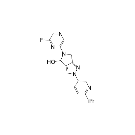 CC(C)c1ccc(-n2cc3c(n2)CN(c2cncc(F)n2)C3O)cn1